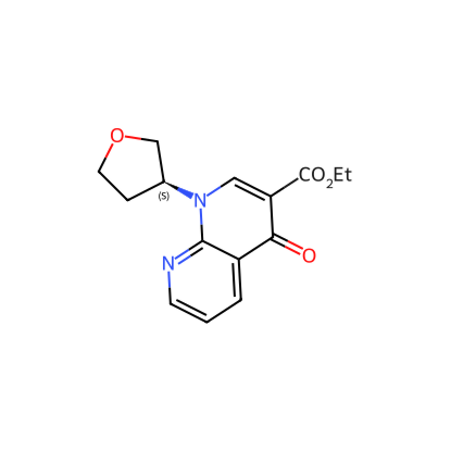 CCOC(=O)c1cn([C@H]2CCOC2)c2ncccc2c1=O